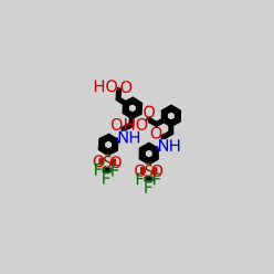 O=C(O)Cc1cccc(CC(=O)Nc2cccc(S(=O)(=O)C(F)(F)F)c2)c1.O=C(O)Cc1ccccc1CC(=O)Nc1cccc(S(=O)(=O)C(F)(F)F)c1